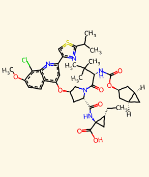 CC[C@@H]1C[C@]1(NC(=O)[C@@H]1C[C@@H](Oc2cc(-c3csc(C(C)C)n3)nc3c(Cl)c(OC)ccc23)CN1C(=O)[C@@H](NC(=O)O[C@@H]1C[C@@H]2C[C@@H]2C1)C(C)(C)C)C(=O)O